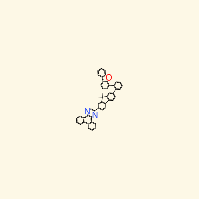 CC1(C)c2cc(-c3cnc4c5ccccc5c5ccccc5c4n3)ccc2-c2ccc(-c3ccccc3-c3cccc4c3oc3ccccc34)cc21